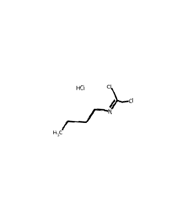 CCCCN=C(Cl)Cl.Cl